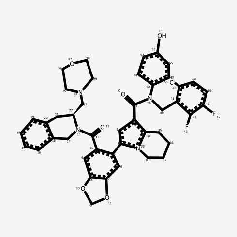 O=C(c1cc(-c2cc3c(cc2C(=O)N2Cc4ccccc4C[C@H]2CN2CCOCC2)OCO3)n2c1CCCC2)N(Cc1c(Cl)ccc(F)c1F)c1ccc(O)cc1